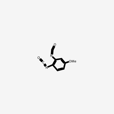 COc1ccc(N=C=O)c(N=C=O)c1